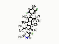 N#CC(C#N)=C1C(c2cc(C#N)ncc2F)=C(C#N)c2c(C#N)c3c(c(C#N)c21)C(C#N)=C(c1cc(F)c(C#N)cc1F)C3=C(C#N)C#N